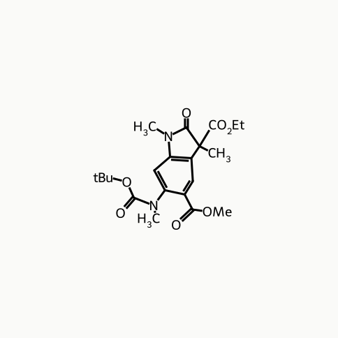 CCOC(=O)C1(C)C(=O)N(C)c2cc(N(C)C(=O)OC(C)(C)C)c(C(=O)OC)cc21